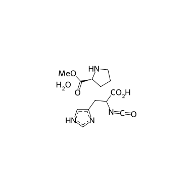 COC(=O)[C@@H]1CCCN1.O.O=C=NC(Cc1c[nH]cn1)C(=O)O